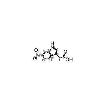 O=C(O)Cc1c[nH]c2cc([N+](=O)[O-])ccc12